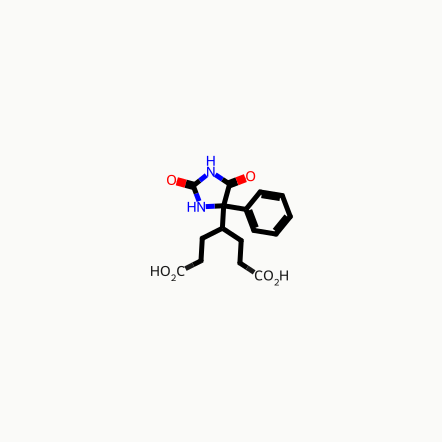 O=C(O)CCC(CCC(=O)O)C1(c2ccccc2)NC(=O)NC1=O